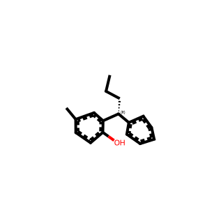 CCC[C@H](c1ccccc1)c1cc(C)ccc1O